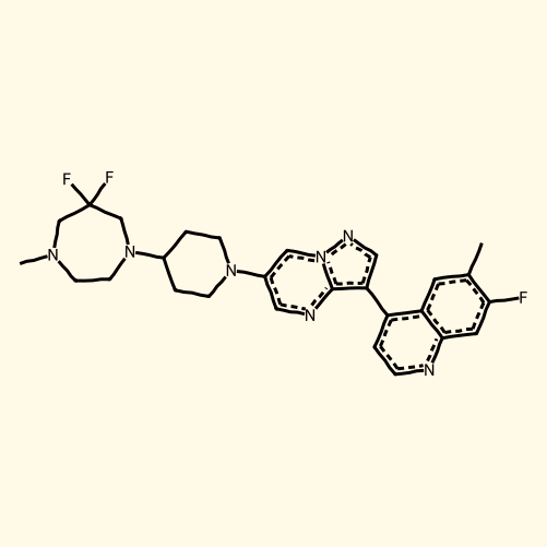 Cc1cc2c(-c3cnn4cc(N5CCC(N6CCN(C)CC(F)(F)C6)CC5)cnc34)ccnc2cc1F